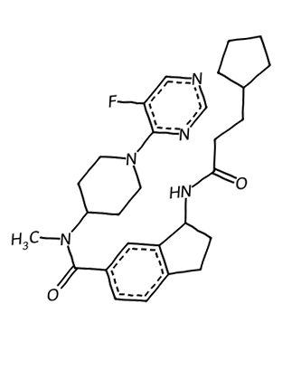 CN(C(=O)c1ccc2c(c1)C(NC(=O)CCC1CCCC1)CC2)C1CCN(c2ncncc2F)CC1